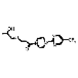 CC(O)COCCC(=O)N1CCN(c2ncc(C(F)(F)F)cn2)CC1